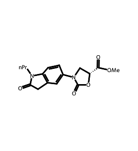 CCCN1C(=O)Cc2cc(N3C[C@H](C(=O)OC)OC3=O)ccc21